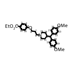 CCOC(=O)c1ccc(OCCCN2CCC(C(c3ccc(OC)cc3)c3ccc(OC)cc3)CC2)cc1